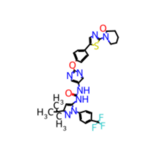 CC(C)(C)c1cc(NC(=O)Nc2cnc(Oc3ccc(-c4cnc(N5CCCCC5=O)s4)cc3)nc2)n(-c2ccc(C(F)(F)F)cc2)n1